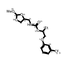 CCC(COc1cccc(C(F)(F)F)c1)OC(=O)NCC1COC(OC)O1